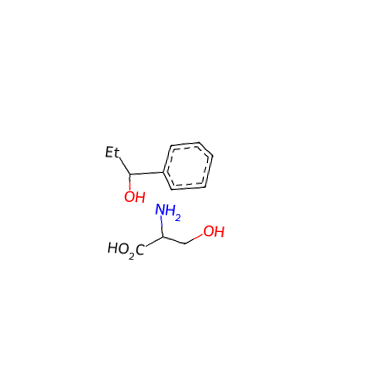 CCC(O)c1ccccc1.NC(CO)C(=O)O